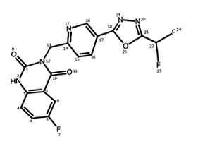 O=c1[nH]c2ccc(F)cc2c(=O)n1Cc1ccc(-c2nnc(C(F)F)o2)cn1